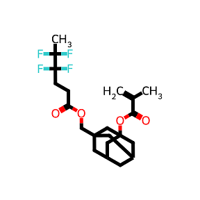 C=C(C)C(=O)OC12CC3CC(CC(COC(=O)CCC(F)(F)C(C)(F)F)(C3)C1)C2